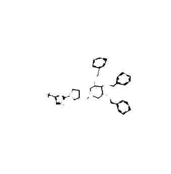 FC(F)(F)c1cnc(N2CC[C@H](CN3C[C@H](OCc4ccccc4)C(OCc4ccccc4)[C@H](OCc4ccccc4)C3)C2)s1